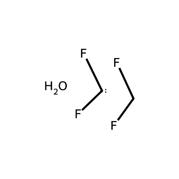 FCF.F[C]F.O